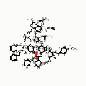 COc1ccc(CO[C@H](C(=O)N[C@H]2[C@H](O)[C@@H](O[C@@H]3O[C@H](COC(C)=O)[C@@H](O[C@H]4O[C@@H](CN=[N+]=[N-])[C@@H](OC(C)=O)[C@H](OC(C)=O)[C@H]4N=[N+]=[N-])[C@H]3OC(C)=O)[C@H](O[C@H]3O[C@H](CN(Cc4ccccc4)C(=O)OCc4ccccc4)CC[C@H]3N=[N+]=[N-])[C@@H](NC(=O)OCc3ccccc3)[C@@H]2OCc2ccccc2)[C@H](F)CN=[N+]=[N-])cc1